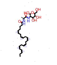 CC/C=C\C=C/C/C=C\C/C=C\C/C=C\C/C=C\CCCC(=O)N[C@@H](C)C(=O)NC1[C@H](O)OC(CO)[C@@H](O)[C@H]1O